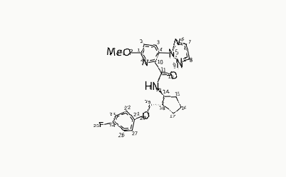 COc1ccc(-n2nccn2)c(C(=O)N[C@H]2CCC[C@@H]2COc2ccc(F)cc2)n1